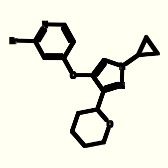 Brc1cc(Oc2cn(C3CC3)nc2C2CCCCO2)ccn1